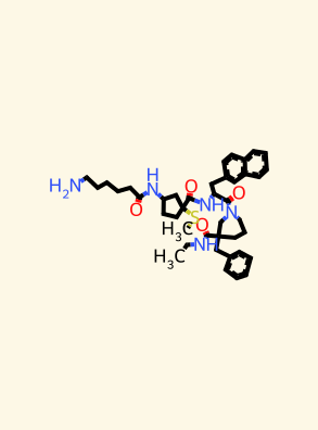 CCNC(=O)C1(Cc2ccccc2)CCCN(C(=O)C(Cc2ccc3ccccc3c2)NC(=O)C2(SC)CCC(NC(=O)CCCCCN)C2)C1